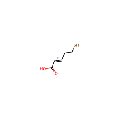 O=C(O)/C=C/CCS